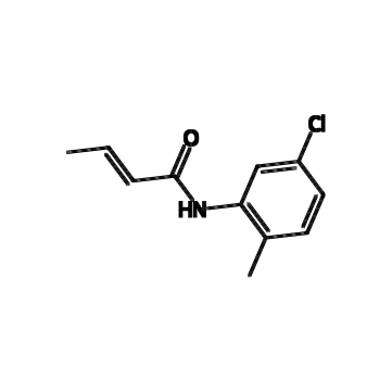 CC=CC(=O)Nc1cc(Cl)ccc1C